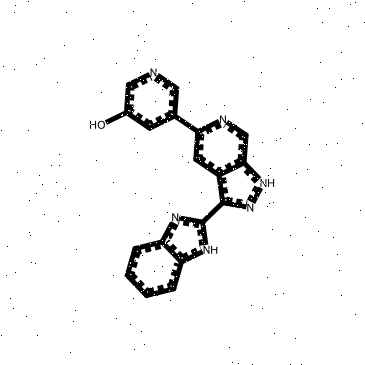 Oc1cncc(-c2cc3c(-c4nc5ccccc5[nH]4)n[nH]c3cn2)c1